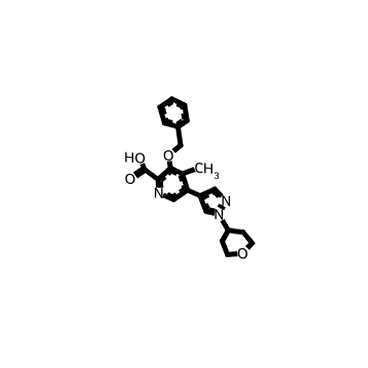 Cc1c(-c2cnn(C3CCOCC3)c2)cnc(C(=O)O)c1OCc1ccccc1